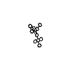 c1ccc(-c2ccc(N(c3ccc(-c4c5c(c(-c6ccccc6)c6c4CCCC6)CCCC5)cc3)c3cccc4c3oc3ccccc34)cc2)cc1